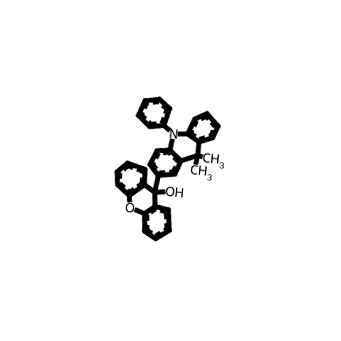 CC1(C)c2ccccc2N(c2ccccc2)c2ccc(C3(O)c4ccccc4Oc4ccccc43)cc21